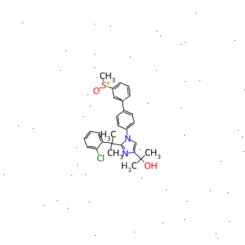 C[S+]([O-])c1cccc(-c2ccc(-n3cc(C(C)(C)O)nc3C(C)(C)c3ccccc3Cl)cc2)c1